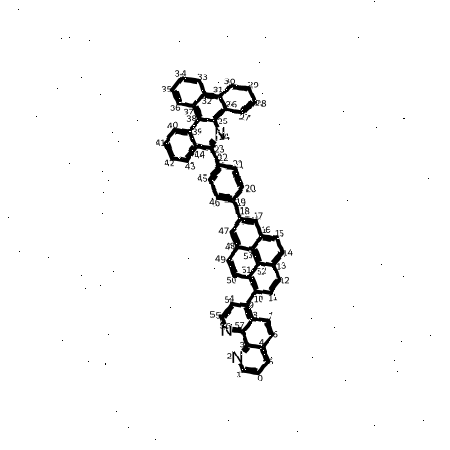 c1cnc2c(c1)ccc1c(-c3ccc4ccc5cc(-c6ccc(-c7nc8c9ccccc9c9ccccc9c8c8ccccc78)cc6)cc6ccc3c4c56)ccnc12